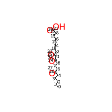 CCCCCC(CCCC(CC(CCCCCCCC(=O)O)OC)OC)OC